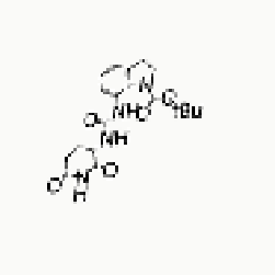 CC(C)(C)OC(=O)N1CCc2cccc(NC(=O)N[C@H]3CCC(=O)NC3=O)c21